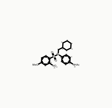 COc1ccc(S(=O)(=O)N(CC2CCCCC2)c2ccc(NC(C)=O)cc2)c([N+](=O)[O-])c1